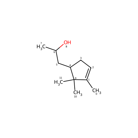 CC1=CCC(CC(C)O)C1(C)C